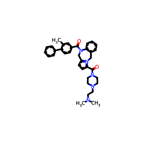 Cc1cc(C(=O)N2Cc3ccc(C(=O)N4CCN(CCN(C)C)CC4)n3Cc3ccccc32)ccc1-c1ccccc1